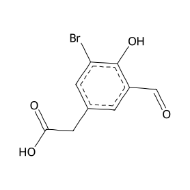 O=Cc1cc(CC(=O)O)cc(Br)c1O